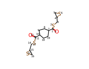 O=C(SCC1CS1)C1CCC(C(=O)SCC2CS2)CC1